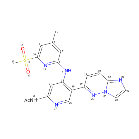 CC(=O)Nc1cc(Nc2cc(C)cc(S(C)(=O)=O)n2)c(-c2ccc3nccn3n2)cn1